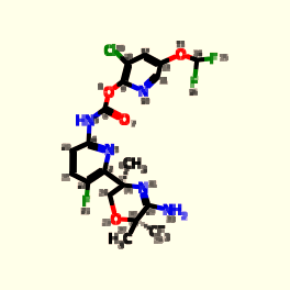 C[C@@]1(c2nc(NC(=O)Oc3ncc(OC(F)F)cc3Cl)ccc2F)CO[C@@](C)(C(F)(F)F)C(N)=N1